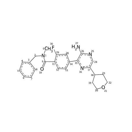 CN(Cc1ccccc1)C(=O)c1ccc(-c2nc(C3CCOCC3)cnc2N)cc1F